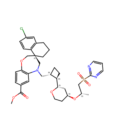 COC(=O)c1ccc2c(c1)N(C[C@@H]1CC[C@H]1[C@@H]1C[C@@H](O[C@@H](C)CS(=O)(=O)c3ncccn3)CCO1)C[C@@]1(CCCc3cc(Cl)ccc31)CO2